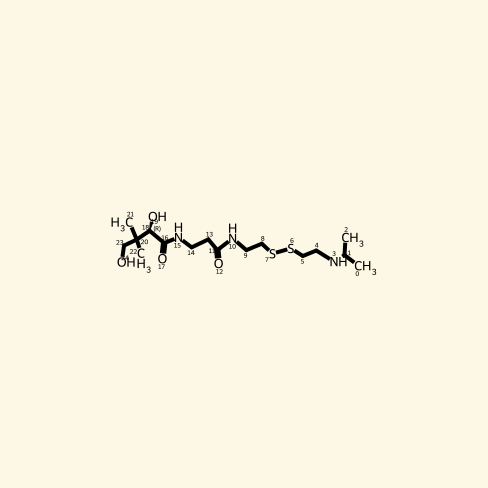 CC(C)NCCSSCCNC(=O)CCNC(=O)[C@H](O)C(C)(C)CO